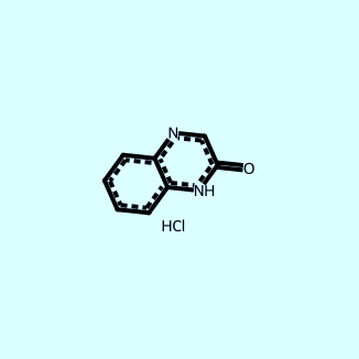 Cl.O=c1cnc2ccccc2[nH]1